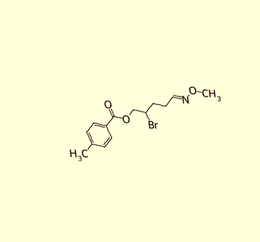 CON=CCCC(Br)COC(=O)c1ccc(C)cc1